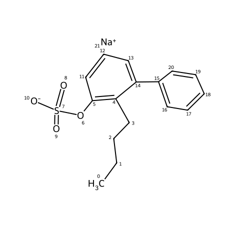 CCCCc1c(OS(=O)(=O)[O-])cccc1-c1ccccc1.[Na+]